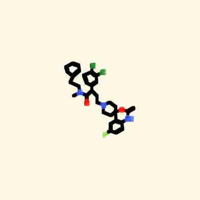 C=C1Nc2ccc(F)cc2C2(CCN(CCC(C(=O)N(C)CCc3ccccc3)c3ccc(Cl)c(Cl)c3)CC2)O1